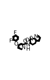 CN1C(=O)C(NC(=O)c2cc(Oc3ccc(F)cc3F)ccn2)CCc2cccnc21